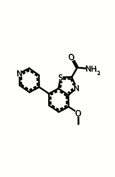 COc1ccc(-c2ccncc2)c2sc(C(N)=O)nc12